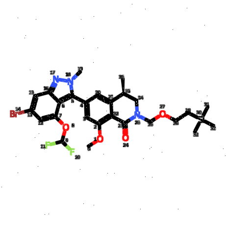 COc1cc(-c2c3c(OC(F)F)cc(Br)cc3nn2C)cc2c1C(=O)N(COCC[Si](C)(C)C)C[C@@H]2C